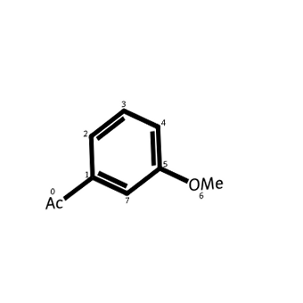 [CH2]C(=O)c1cccc(OC)c1